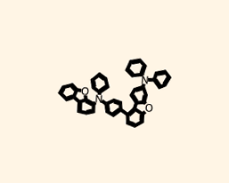 c1ccc(N(c2ccccc2)c2ccc3c(c2)oc2cccc(-c4ccc(N(c5ccccc5)c5cccc6c5oc5ccccc56)cc4)c23)cc1